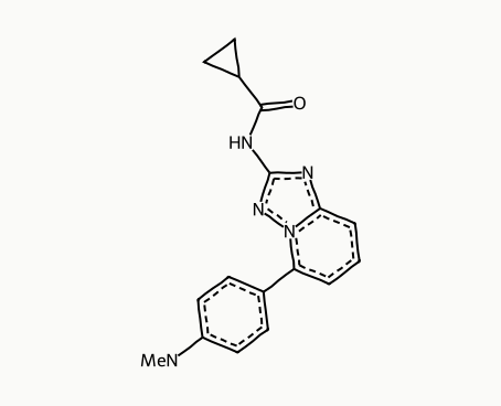 CNc1ccc(-c2cccc3nc(NC(=O)C4CC4)nn23)cc1